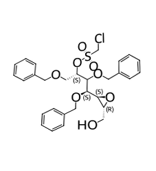 O=S(=O)(CCl)O[C@@H](COCc1ccccc1)C(OCc1ccccc1)[C@H](OCc1ccccc1)[C@H]1O[C@@H]1CO